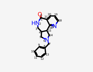 O=C1NCC2CN(Cc3ccccc3)CC2c2ncccc21